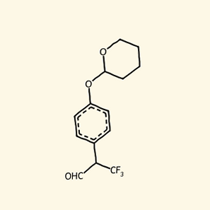 O=CC(c1ccc(OC2CCCCO2)cc1)C(F)(F)F